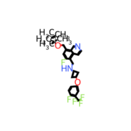 CC(C)(C)[Si](C)(C)OCc1cc(F)c(CN[C@H]2C[C@H](Oc3ccc(F)c(C(F)(F)F)c3)C2)c2ccncc12